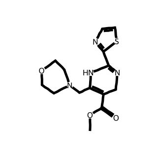 COC(=O)C1=C(CN2CCOCC2)NC(c2nccs2)=NC1